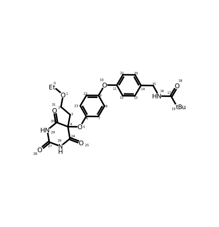 CCOCCC1(Oc2ccc(Oc3ccc(CNC(=O)C(C)(C)C)cc3)cc2)C(=O)NC(=O)NC1=O